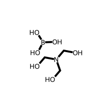 OB(O)O.OCN(CO)CO